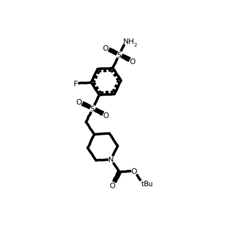 CC(C)(C)OC(=O)N1CCC(CS(=O)(=O)c2ccc(S(N)(=O)=O)cc2F)CC1